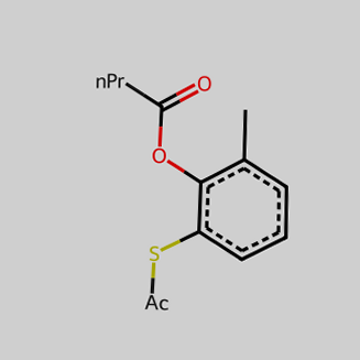 CCCC(=O)Oc1c(C)cccc1SC(C)=O